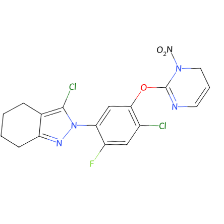 O=[N+]([O-])N1CC=CN=C1Oc1cc(-n2nc3c(c2Cl)CCCC3)c(F)cc1Cl